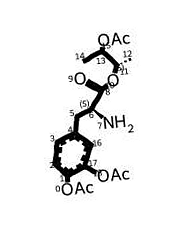 CC(=O)Oc1ccc(C[C@H](N)C(=O)O[C@@H](C)C(C)OC(C)=O)cc1OC(C)=O